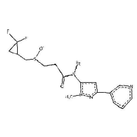 CCN(C(=O)CC[S+]([O-])CC1CC1(F)F)c1cc(-c2cccnc2)nn1C